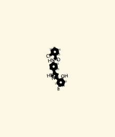 O=C(Nc1ccc(-c2cc(-c3cc(F)ccc3O)n[nH]2)cc1)c1ccccc1Cl